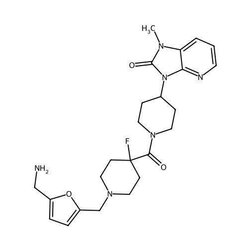 Cn1c(=O)n(C2CCN(C(=O)C3(F)CCN(Cc4ccc(CN)o4)CC3)CC2)c2ncccc21